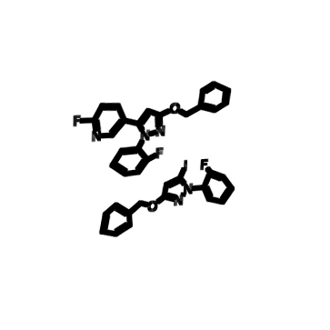 Fc1ccc(-c2cc(OCc3ccccc3)nn2-c2ccccc2F)cn1.Fc1ccccc1-n1nc(OCc2ccccc2)cc1I